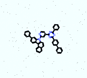 c1ccc(-c2ccc(-c3nc(-c4ccccc4)nc(-c4ccnc(-n5c6cc(-c7ccccc7)ccc6c6c7ccccc7ccc65)c4)n3)cc2)cc1